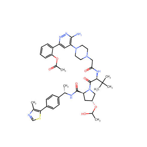 CC(=O)Oc1ccccc1-c1cc(N2CCN(CC(=O)N[C@H](C(=O)N3C[C@H](OC(C)O)C[C@H]3C(=O)N[C@@H](C)c3ccc(-c4scnc4C)cc3)C(C)(C)C)CC2)c(N)nn1